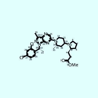 COC(=O)CC[C@@H]1CCCN1C1CCN(c2cnc3c(C)nn([C@H](C)c4ccc(Cl)cc4Cl)c3n2)[C@@H](C)C1